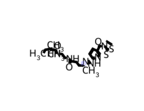 CCC(C)(C)C(=O)NCCNC(=O)CC/C(C)=N/Nc1ccc(C(=O)N2CCSC2=S)cn1